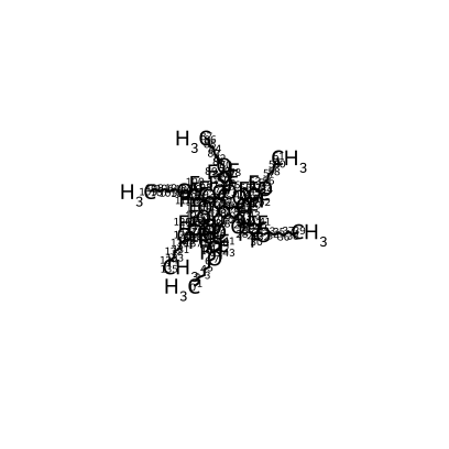 CCCCCCCOc1c(F)c(F)c(C(=O)Oc2cc3c4cc(OC(=O)c5c(F)c(F)c(OCCCCCCC)c(F)c5F)c(OC(=O)c5c(F)c(F)c(OCCCCCCC)c(F)c5F)cc4c4cc(OC(=O)c5c(F)c(F)c(OCCCCCCC)c(F)c5F)c(OC(=O)c5c(F)c(F)c(OCCCCCCC)c(F)c5F)cc4c3cc2OC(=O)c2c(F)c(F)c(OCCCCCCC)c(F)c2F)c(F)c1F